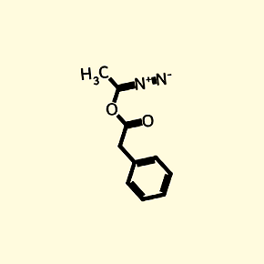 CC(=[N+]=[N-])OC(=O)Cc1ccccc1